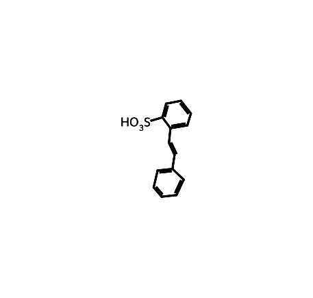 O=S(=O)(O)c1ccccc1C=Cc1ccccc1